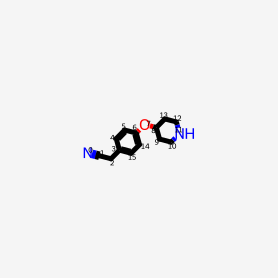 N#CCc1ccc(OC2CCNCC2)cc1